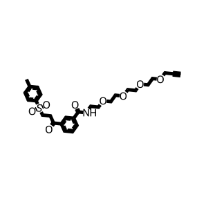 C#CCOCCOCCOCCOCCNC(=O)c1cccc(C(=O)CCS(=O)(=O)c2ccc(C)cc2)c1